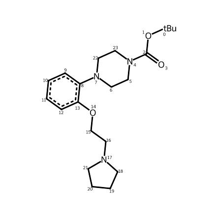 CC(C)(C)OC(=O)N1CCN(c2ccccc2OCCN2CCCC2)CC1